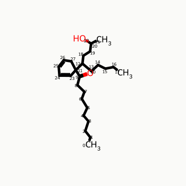 CCCCCCCCCC(=O)C1(C(CCCCC)CCC(C)O)C=CC=CC1